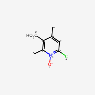 Cc1cc(Cl)[n+]([O-])c(C)c1C(=O)O